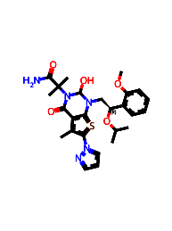 COc1ccccc1[C@H](CN1c2sc(-n3cccn3)c(C)c2C(=O)N(C(C)(C)C(N)=O)C1O)OC(C)C